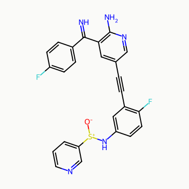 N=C(c1ccc(F)cc1)c1cc(C#Cc2cc(N[S+]([O-])c3cccnc3)ccc2F)cnc1N